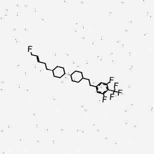 FC/C=C/CC[C@H]1CC[C@H](C2CCC(CCc3cc(F)c(C(F)(F)F)c(F)c3)CC2)CC1